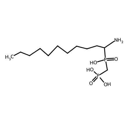 CCCCCCCCCCC(N)P(=O)(O)CP(=O)(O)O